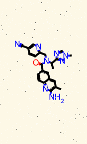 Cc1cc2cc(C(=O)N(Cc3ccc(C#N)cn3)C(C)c3ncn(C)n3)ccc2nc1N